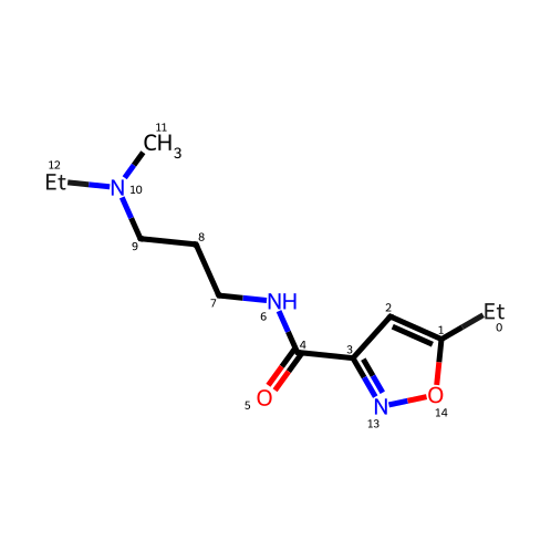 CCc1cc(C(=O)NCCCN(C)CC)no1